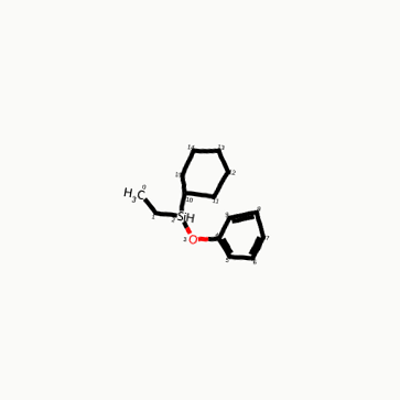 CC[SiH](Oc1ccccc1)C1CCCCC1